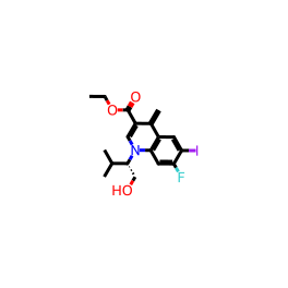 C=C1C(C(=O)OCC)=CN([C@H](CO)C(C)C)c2cc(F)c(I)cc21